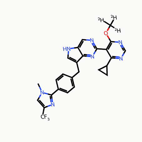 [2H]C([2H])([2H])Oc1ncnc(C2CC2)c1-c1ncc2[nH]cc(Cc3ccc(-c4nc(C(F)(F)F)cn4C)cc3)c2n1